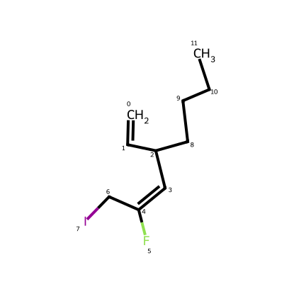 C=CC(/C=C(/F)CI)CCCC